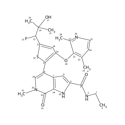 CCNC(=O)c1cc2c(-c3sc(C(F)C(C)(C)O)cc3Oc3c(C)ccnc3C)cn(C)c(=O)c2[nH]1